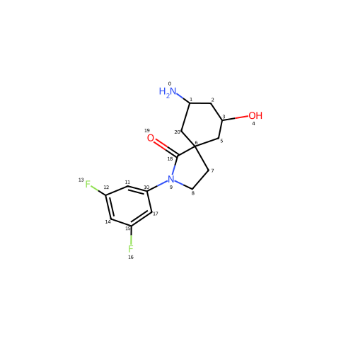 NC1CC(O)CC2(CCN(c3cc(F)cc(F)c3)C2=O)C1